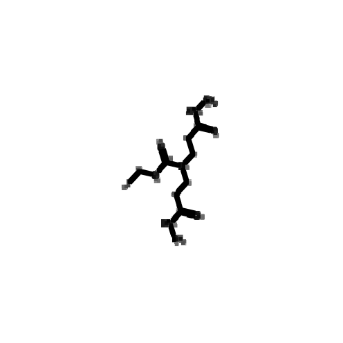 BNC(=O)CCN(CCC(=O)NB)C(=O)OCI